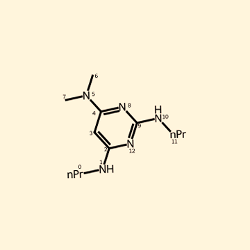 CCCNc1cc(N(C)C)nc(NCCC)n1